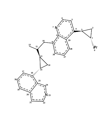 CC(C)[C@H]1C[C@@H]1c1ccnc2c(CC(C)[C@H]3C[C@@H]3c3cccc4ccncc34)cccc12